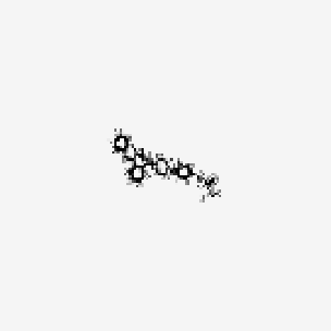 CN(C)C(=O)OCc1ccc(N2CCN(c3nnc(Cc4ccccc4)c4ccccc34)CC2)nc1